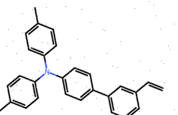 C=Cc1cccc(-c2ccc(N(c3ccc(C)cc3)c3ccc(C)cc3)cc2)c1